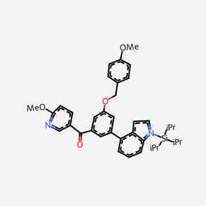 COc1ccc(COc2cc(C(=O)c3ccc(OC)nc3)cc(-c3cccc4c3ccn4[Si](C(C)C)(C(C)C)C(C)C)c2)cc1